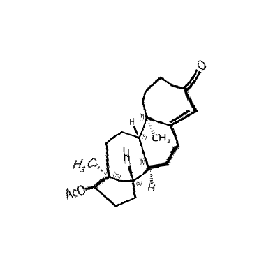 CC(=O)OC1CC[C@H]2[C@@H]3CCC4=CC(=O)CC[C@]4(C)[C@H]3CC[C@]12C